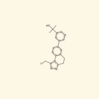 CC(C)(O)c1cncc(-c2ccc3c(c2)CCc2nnc(CF)n2-3)c1